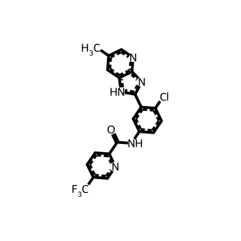 Cc1cnc2nc(-c3cc(NC(=O)c4ccc(C(F)(F)F)cn4)ccc3Cl)[nH]c2c1